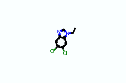 CCn1cnc2cc(Cl)c(Cl)cc21